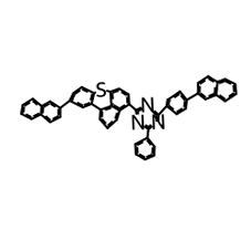 c1ccc(-c2nc(-c3ccc(-c4ccc5ccccc5c4)cc3)nc(-c3ccc4c5c(cccc35)-c3cc(-c5ccc6ccccc6c5)ccc3S4)n2)cc1